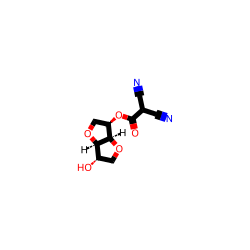 N#CC(C#N)C(=O)O[C@@H]1CO[C@H]2[C@@H]1OC[C@@H]2O